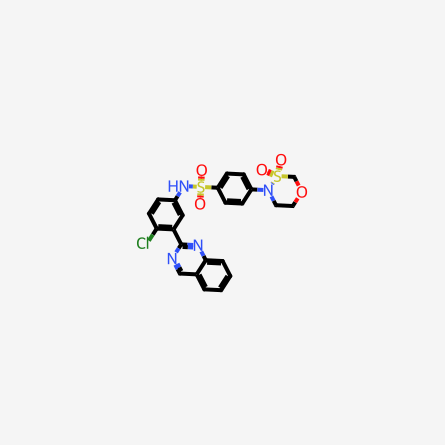 O=S(=O)(Nc1ccc(Cl)c(-c2ncc3ccccc3n2)c1)c1ccc(N2CCOCS2(=O)=O)cc1